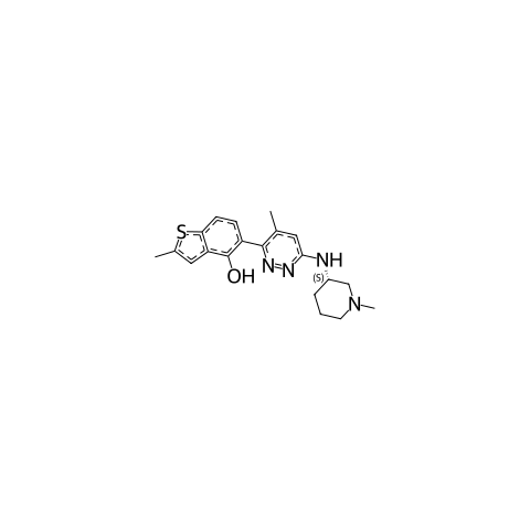 Cc1cc2c(O)c(-c3nnc(N[C@H]4CCCN(C)C4)cc3C)ccc2s1